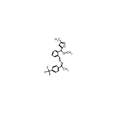 COC(c1cc(C)no1)c1ccccc1C=NN=C(C)c1ccc(C(F)(F)F)cc1